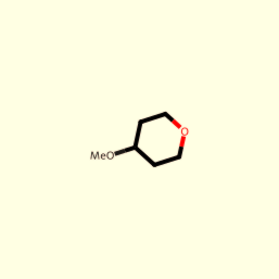 COC1CCOCC1